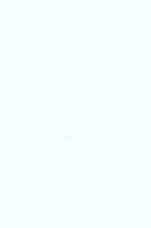 O=C(O)C1(F)C=NC1